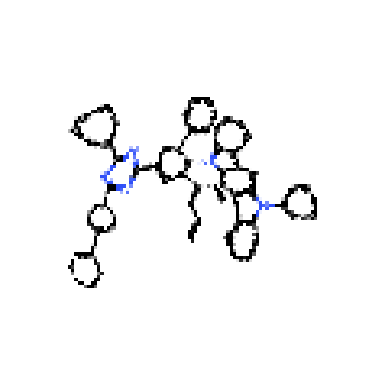 C=C/C=C(\C=C)c1cc(-c2nc(-c3ccccc3)nc(-c3ccc(C4=CCCC=C4)cc3)n2)cc(-c2ccccc2)c1-n1c2ccccc2c2cc3c(cc21)c1ccccc1n3-c1ccccc1